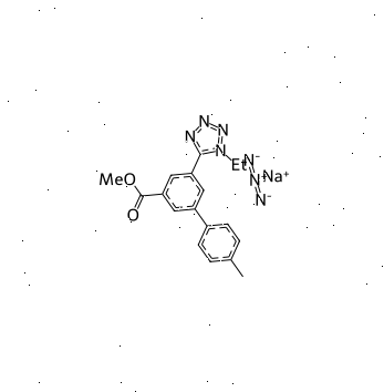 CCn1nnnc1-c1cc(C(=O)OC)cc(-c2ccc(C)cc2)c1.[N-]=[N+]=[N-].[Na+]